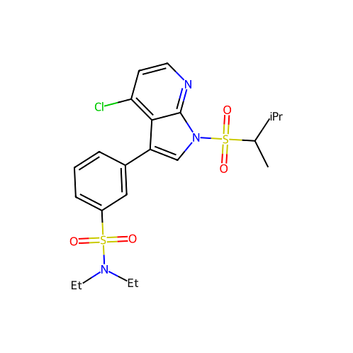 CCN(CC)S(=O)(=O)c1cccc(-c2cn(S(=O)(=O)C(C)C(C)C)c3nccc(Cl)c23)c1